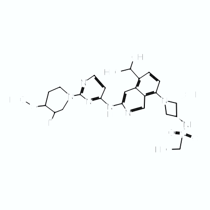 CCS(=O)(=O)N[C@H]1CN(c2ccc(C(C)C)c3cc(Nc4ccnc(N5CCC(OC)C(F)C5)n4)ncc23)[C@@H]1C